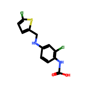 O=C(O)Nc1ccc(NCc2ccc(Cl)s2)cc1Cl